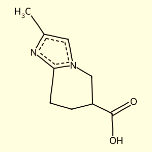 Cc1cn2c(n1)CCC(C(=O)O)C2